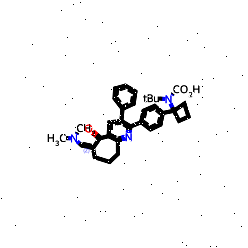 CN(C)/C=C1/CCCc2nc(-c3ccc(C4(N(C(=O)O)C(C)(C)C)CCC4)cc3)c(-c3ccccc3)cc2C1=O